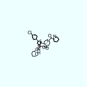 O=C(C[C@]1(c2ccc(-c3ccc(Cl)cc3)s2)CCN(C(=O)c2ccccn2)CCS1(=O)=O)NOC1CCCCO1